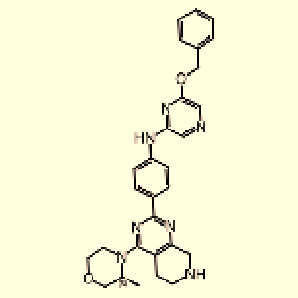 C[C@H]1COCCN1c1nc(-c2ccc(Nc3cncc(OCc4ccccc4)n3)cc2)nc2c1CCNC2